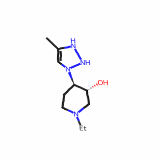 CCN1CC[C@@H](N2C=C(C)NN2)[C@H](O)C1